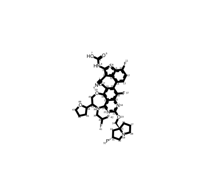 N#Cc1c(NC(=O)O)sc2c(F)ccc(-c3c(Cl)c4c5c(nc(OC[C@@]67CCCN6C[C@H](F)C7)nc5c3F)N(CC(F)F)C(C3CCCO3)CO4)c12